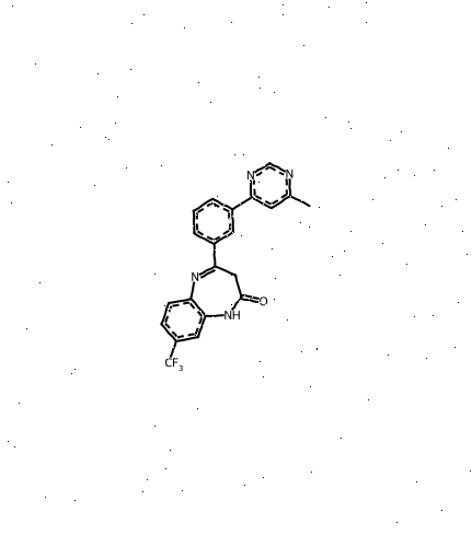 Cc1cc(-c2cccc(C3=Nc4ccc(C(F)(F)F)cc4NC(=O)C3)c2)ncn1